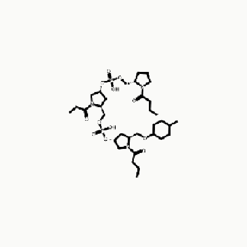 CCCC(=O)N1CCC[C@H]1COP(=O)(O)O[C@@H]1C[C@@H](COP(=O)(O)O[C@@H]2C[C@@H](COC3CCC(C)CC3)N(C(=O)CCC)C2)N(C(=O)CC)C1